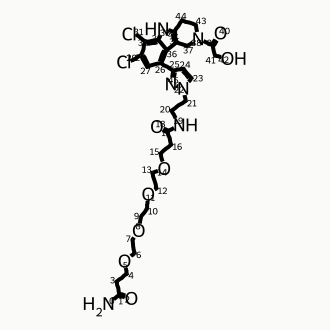 NC(=O)CCOCCOCCOCCOCCC(=O)NCCn1ccc(-c2cc(Cl)c(Cl)c3[nH]c4c(c23)CN(C(=O)CO)CC4)n1